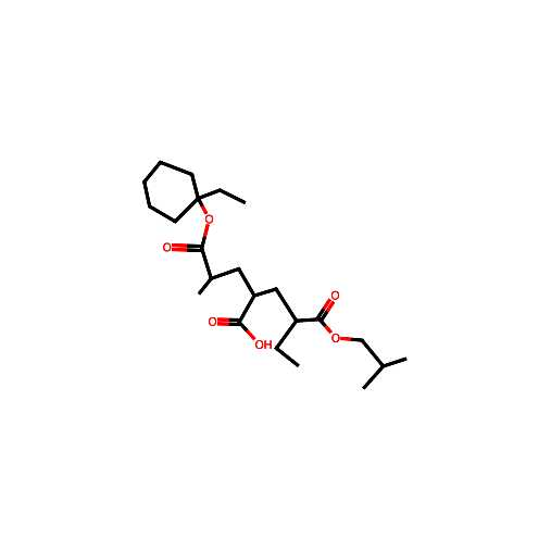 CCC(CC(CC(C)C(=O)OC1(CC)CCCCC1)C(=O)O)C(=O)OCC(C)C